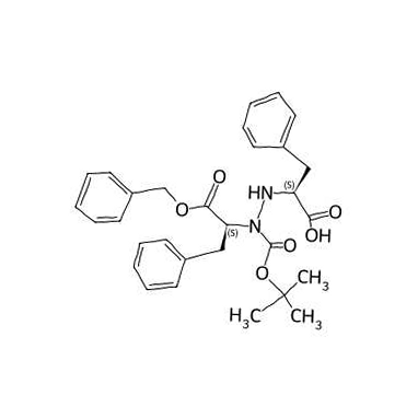 CC(C)(C)OC(=O)N(N[C@@H](Cc1ccccc1)C(=O)O)[C@@H](Cc1ccccc1)C(=O)OCc1ccccc1